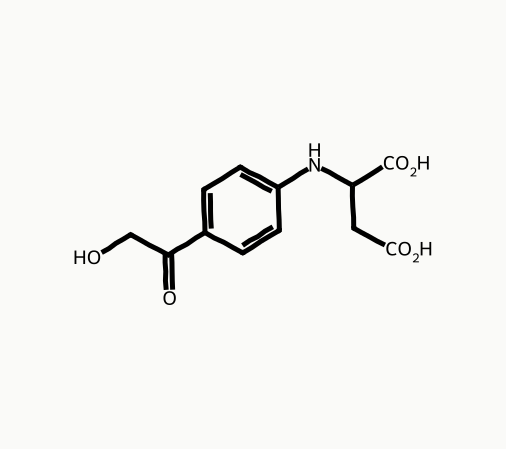 O=C(O)CC(Nc1ccc(C(=O)CO)cc1)C(=O)O